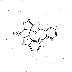 C[C@@H](OC1(n2cnc3ccccc32)C=CSC1C(=O)O)c1ccccc1C(F)(F)F